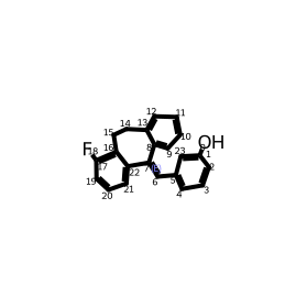 Oc1cccc(/C=C2\c3ccccc3CCc3c(F)cccc32)c1